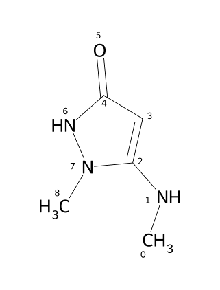 CNc1cc(=O)[nH]n1C